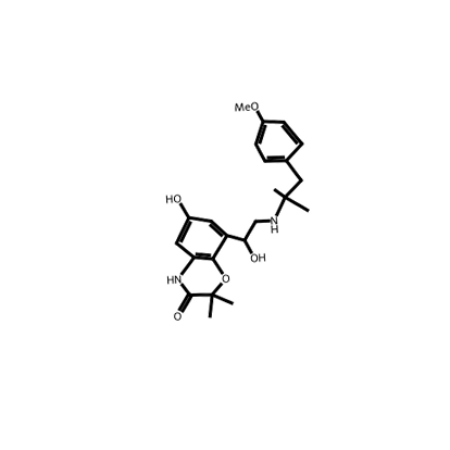 COc1ccc(CC(C)(C)NCC(O)c2cc(O)cc3c2OC(C)(C)C(=O)N3)cc1